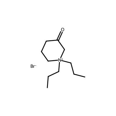 CCC[N+]1(CCC)CCCC(=O)C1.[Br-]